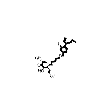 C=C/C(=C\C=C/C)c1ccc(COCCCCCN2C[C@H](O)C(=O)[C@H](O)[C@@H]2CCO)cc1F